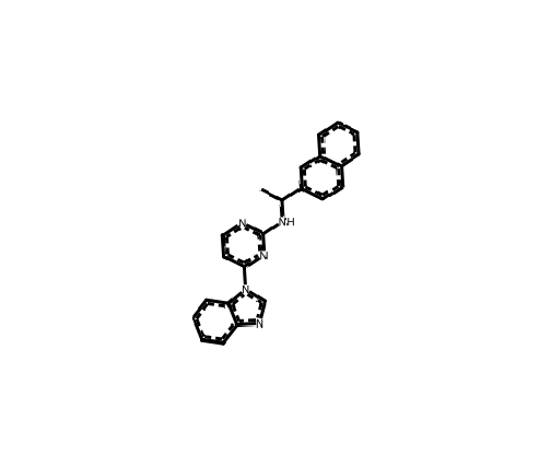 CC(Nc1nccc(-n2cnc3ccccc32)n1)c1ccc2ccccc2c1